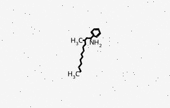 CCCCCCCCCCC(C)CC(N)c1ccccc1